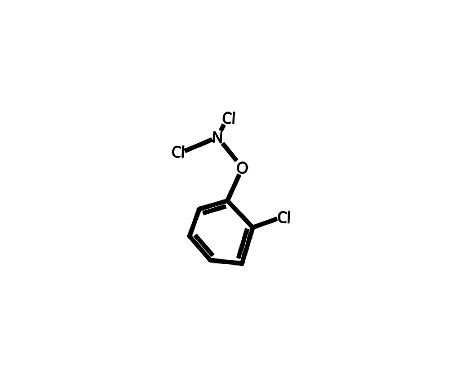 Clc1ccccc1ON(Cl)Cl